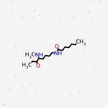 CCCCCCC(=O)NCCCCC(NC)C(=O)CC